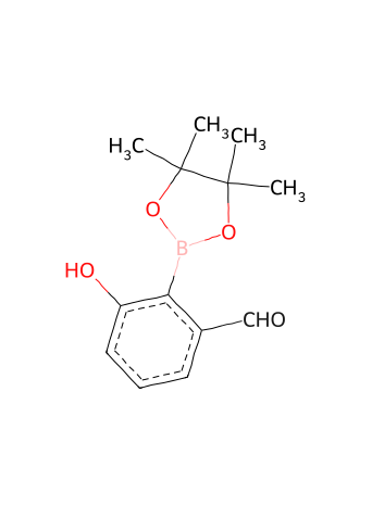 CC1(C)OB(c2c(O)cccc2C=O)OC1(C)C